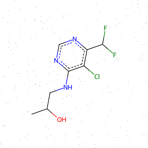 CC(O)CNc1ncnc(C(F)F)c1Cl